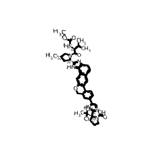 COC(=O)N[C@H](C(=O)N1C[C@@H](C)C[C@H]1c1nc2ccc3cc4c(cc3c2[nH]1)OCc1cc(-c2cnc([C@@]3(C(C)(C)C)CCCN3C(=O)O)[nH]2)ccc1-4)C(C)C